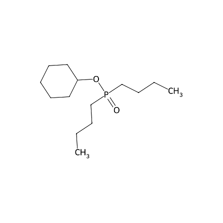 CCCCP(=O)(CCCC)OC1CCCCC1